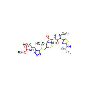 CON=C(C(=O)NC1C(=O)N2C(C(=O)O)=C(CSc3nnnn3CC(NC(=O)OC(C)(C)C)C(=O)O)CS[C@@H]12)c1csc(NC(=O)C(F)(F)F)n1